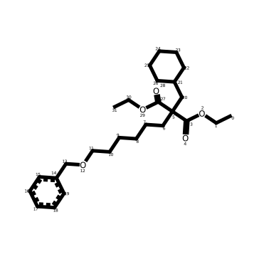 CCOC(=O)C(CCCCCCOCc1ccccc1)(CC1CCCCC1)C(=O)OCC